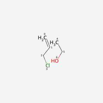 C=CCCl.CCO